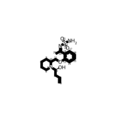 C=CC[C@@H](O)N1CCCCC1COc1cc#ccc1/C(C)=N\S(N)(=O)=O